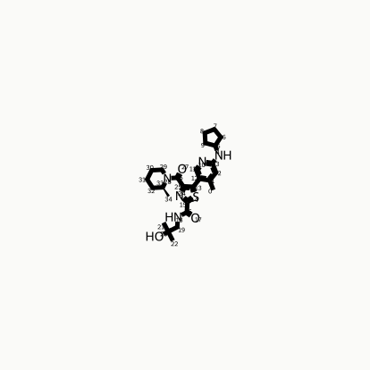 Cc1cc(NC2CCCC2)ncc1-c1sc(C(=O)NCC(C)(C)O)nc1C(=O)N1CCCC[C@@H]1C